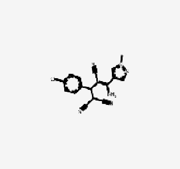 Cn1cc(/C(N)=C(\C#N)C(c2ccc(Cl)cc2)C(C#N)C#N)cn1